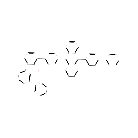 c1ccc(-c2ccc(-c3c4ccccc4c(-c4ccc(-c5cccc6c5oc5c(-c7ccccc7)cccc56)cc4)c4ccccc34)cc2)cc1